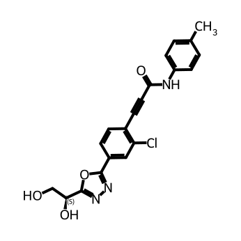 Cc1ccc(NC(=O)C#Cc2ccc(-c3nnc([C@@H](O)CO)o3)cc2Cl)cc1